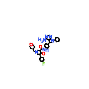 Nc1ncnc2c1c(-c1ccc(NC(=O)c3cn(CC4CCOCC4)cc(-c4ccc(F)cc4)c3=O)cc1)cn2-c1ccccc1